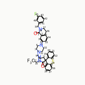 O=C1c2cc(N3CCN(CCCC4(C(=O)NCC(F)(F)F)c5ccccc5Sc5ccccc54)CC3)ccc2CCN1Cc1cccc(F)c1